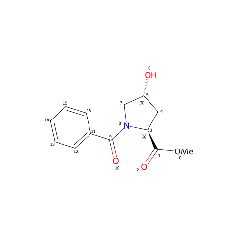 COC(=O)[C@@H]1C[C@@H](O)CN1C(=O)c1ccccc1